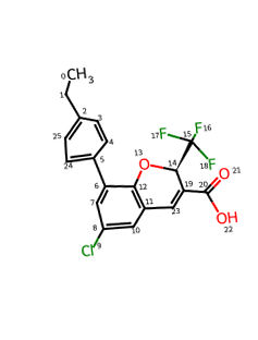 CCc1ccc(-c2cc(Cl)cc3c2O[C@@H](C(F)(F)F)C(C(=O)O)=C3)cc1